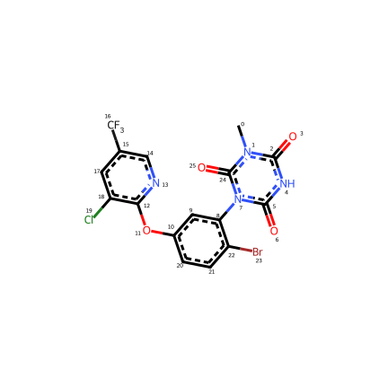 Cn1c(=O)[nH]c(=O)n(-c2cc(Oc3ncc(C(F)(F)F)cc3Cl)ccc2Br)c1=O